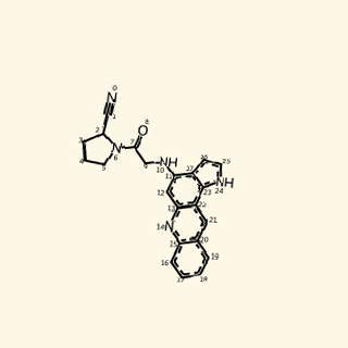 N#CC1CCCN1C(=O)CNc1cc2nc3ccccc3cc2c2[nH]ccc12